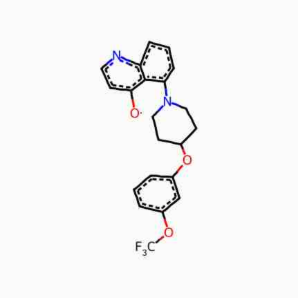 [O]c1ccnc2cccc(N3CCC(Oc4cccc(OC(F)(F)F)c4)CC3)c12